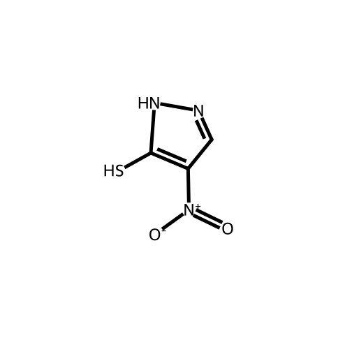 O=[N+]([O-])c1cn[nH]c1S